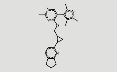 Cc1ncc(-c2c(C)nn(C)c2C)c(OCC2CC2c2ccc3c(n2)CCC3)n1